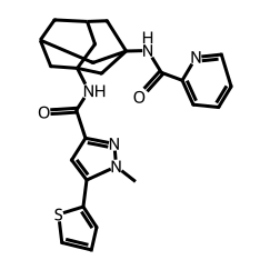 Cn1nc(C(=O)NC23CC4CC(CC(NC(=O)c5ccccn5)(C4)C2)C3)cc1-c1cccs1